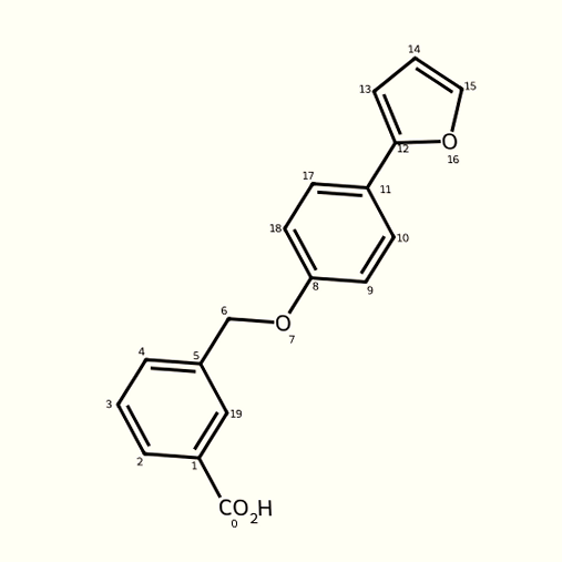 O=C(O)c1cccc(COc2ccc(-c3ccco3)cc2)c1